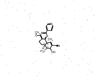 COc1nc(-c2ccncc2)nc2c1CC[C@H]1[C@H](C)C(O)C(C#N)=C[C@]21C